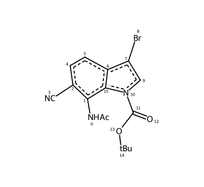 CC(=O)Nc1c(C#N)ccc2c(Br)cn(C(=O)OC(C)(C)C)c12